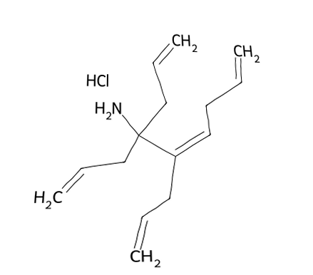 C=CCC=C(CC=C)C(N)(CC=C)CC=C.Cl